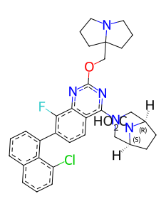 O=C(O)N1[C@@H]2CC[C@H]1CN(c1nc(OCC34CCCN3CCC4)nc3c(F)c(-c4cccc5cccc(Cl)c45)ccc13)C2